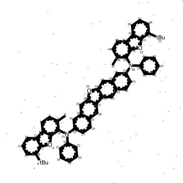 Cc1ccc2c(oc3c(C(C)(C)C)cccc32)c1N(c1ccccc1)c1ccc2cc3c(cc2c1)oc1cc2cc(N(c4ccccc4)c4c(C)ccc5c4oc4c(C(C)(C)C)cccc45)ccc2cc13